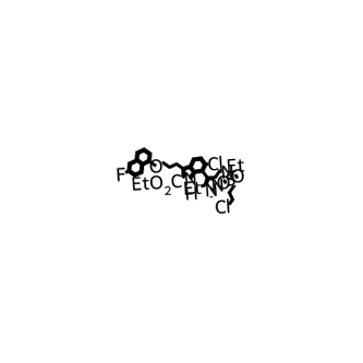 CCOC(=O)c1[nH]c2c(-c3c(CN(CC)S(=O)(=O)CCCCl)nn(C)c3CC)c(Cl)ccc2c1CCCOc1cccc2cc(F)ccc12